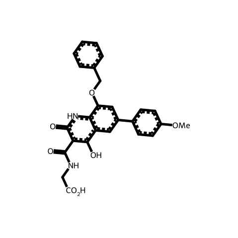 COc1ccc(-c2cc(OCc3ccccc3)c3[nH]c(=O)c(C(=O)NCC(=O)O)c(O)c3c2)cc1